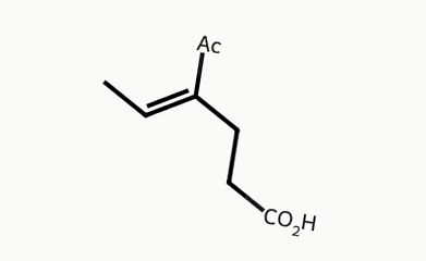 CC=C(CCC(=O)O)C(C)=O